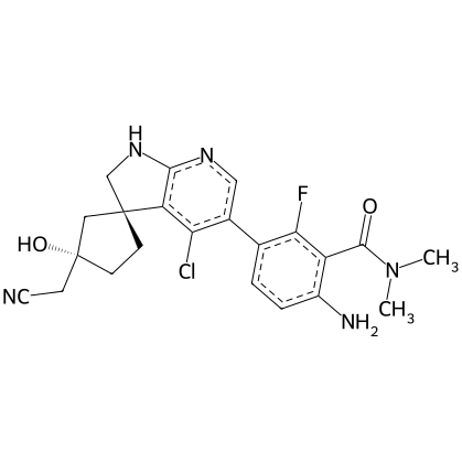 CN(C)C(=O)c1c(N)ccc(-c2cnc3c(c2Cl)[C@@]2(CC[C@@](O)(CC#N)C2)CN3)c1F